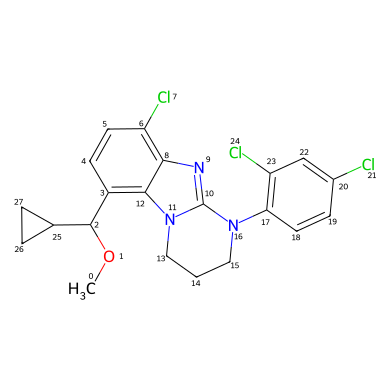 COC(c1ccc(Cl)c2nc3n(c12)CCCN3c1ccc(Cl)cc1Cl)C1CC1